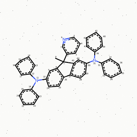 CC1(c2cccnc2)c2cc(N(c3ccccc3)c3ccccc3)ccc2-c2ccc(N(c3ccccc3)c3ccccc3)cc21